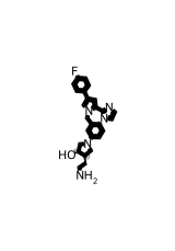 NCC[C@@H]1CN(c2ccc3c(c2)Cn2cc(-c4ccc(F)cc4)cc2-c2nccn2-3)C[C@H]1O